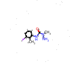 Cc1c(I)cccc1NC(=O)N(C)N